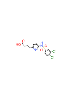 O=C(O)CCCc1ccc(NS(=O)(=O)c2ccc(Cl)c(Cl)c2)cn1